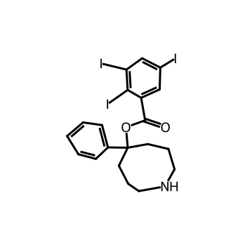 O=C(OC1(c2ccccc2)CCCNCCC1)c1cc(I)cc(I)c1I